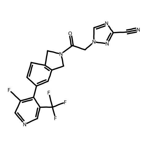 N#Cc1ncn(CC(=O)N2Cc3ccc(-c4c(F)cncc4C(F)(F)F)cc3C2)n1